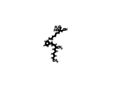 C=CC(O)(CO)CCCCCC[C@H]1CC=C[C@@H]1C=CC[C@H](C)CCCCCC